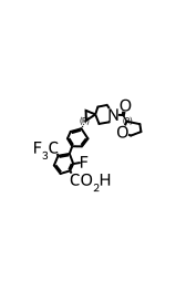 O=C(O)c1ccc(C(F)(F)F)c(-c2ccc([C@@H]3CC34CCN(C(=O)[C@H]3CCCO3)CC4)cc2)c1F